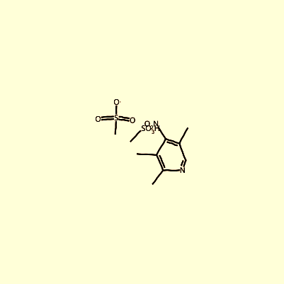 CS(=O)(=O)O.CS([O])(=O)=O.Cc1cnc(C)c(C)c1[N+](=O)[O-]